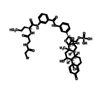 C[C@]12C=CC(=O)C=C1CC[C@@H]1[C@@H]2[C@@H](O)C[C@@]2(C)[C@H]1C[C@H]1O[C@@H](c3cccc(NC(=O)c4cccc(NC(=O)[C@H](CCC(=O)O)NC(=O)CNC(=O)CBr)c4)c3)O[C@]12C(=O)COP(=O)(O)O